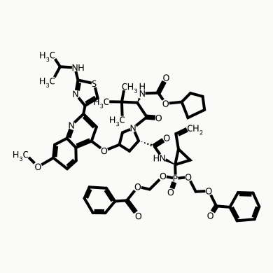 C=CC1C[C@]1(NC(=O)[C@@H]1CC(Oc2cc(-c3csc(NC(C)C)n3)nc3cc(OC)ccc23)CN1C(=O)[C@@H](NC(=O)OC1CCCC1)C(C)(C)C)P(=O)(OCOC(=O)c1ccccc1)OCOC(=O)c1ccccc1